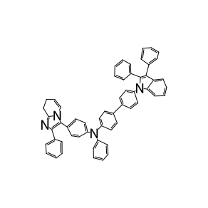 C1=Cn2c(nc(-c3ccccc3)c2-c2ccc(N(c3ccccc3)c3ccc(-c4ccc(-n5c(-c6ccccc6)c(-c6ccccc6)c6ccccc65)cc4)cc3)cc2)CC1